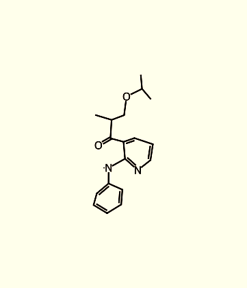 CC(C)OCC(C)C(=O)c1cccnc1[N]c1ccccc1